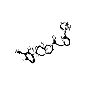 Cc1c([C@H]2CN3CCN(C(=O)Cc4cccc(-n5cnnn5)n4)C[C@@H]3CO2)ccc(F)c1C#N